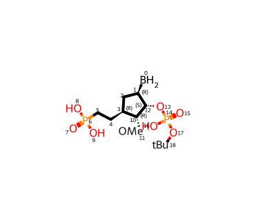 B[C@@H]1C[C@H](CCP(=O)(O)O)[C@@H](OC)[C@H]1OP(=O)(O)OC(C)(C)C